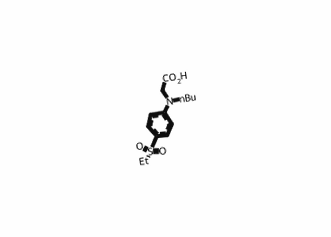 CCCCN(CC(=O)O)c1ccc(S(=O)(=O)CC)cc1